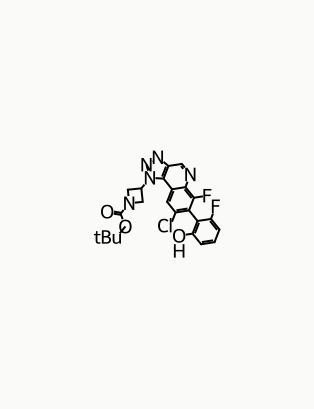 CC(C)(C)OC(=O)N1CC(n2nnc3cnc4c(F)c(-c5c(O)cccc5F)c(Cl)cc4c32)C1